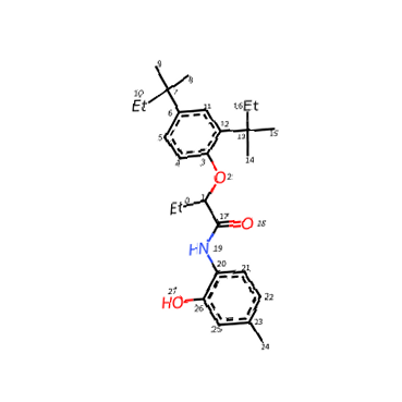 CCC(Oc1ccc(C(C)(C)CC)cc1C(C)(C)CC)C(=O)Nc1ccc(C)cc1O